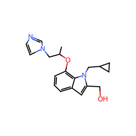 CC(Cn1ccnc1)Oc1cccc2cc(CO)n(CC3CC3)c12